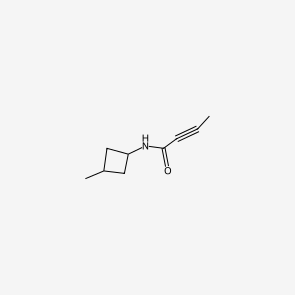 CC#CC(=O)NC1CC(C)C1